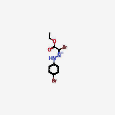 CCOC(=O)/C(Br)=N\Nc1ccc(Br)cc1